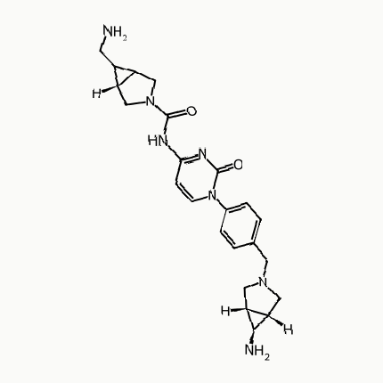 NCC1C2CN(C(=O)Nc3ccn(-c4ccc(CN5C[C@@H]6[C@@H](N)[C@@H]6C5)cc4)c(=O)n3)C[C@H]12